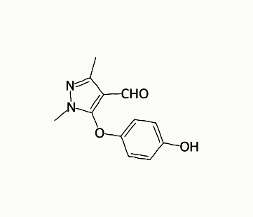 Cc1nn(C)c(Oc2ccc(O)cc2)c1C=O